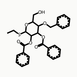 CCSC1OC(CO)C(OCc2ccccc2)C(OC(=O)c2ccccc2)C1OC(=O)c1ccccc1